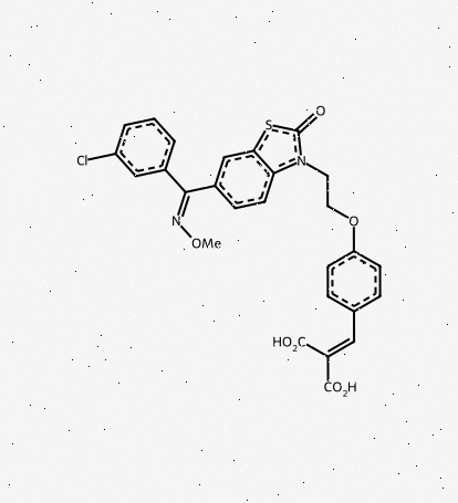 CO/N=C(/c1cccc(Cl)c1)c1ccc2c(c1)sc(=O)n2CCOc1ccc(C=C(C(=O)O)C(=O)O)cc1